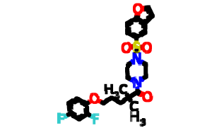 CC(C)(CCCOc1ccc(F)cc1F)C(=O)N1CCN(S(=O)(=O)c2ccc3occc3c2)CC1